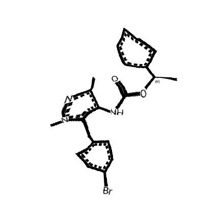 Cc1nn(C)c(-c2ccc(Br)cc2)c1NC(=O)O[C@H](C)c1ccccc1